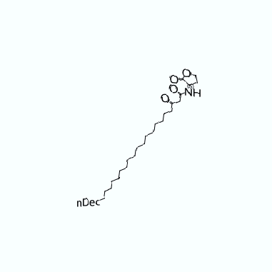 CCCCCCCCCCCCCCCCCCCCCCCCCCCC(=O)CC(=O)N[C@H]1CCOC1=O